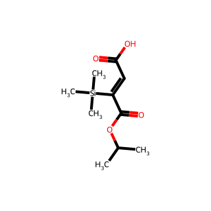 CC(C)OC(=O)C(=CC(=O)O)[Si](C)(C)C